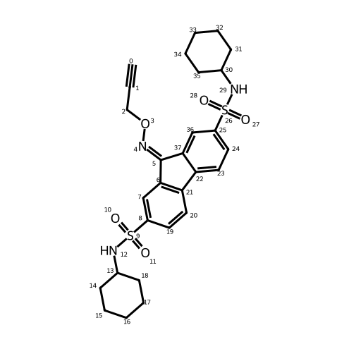 C#CCON=C1c2cc(S(=O)(=O)NC3CCCCC3)ccc2-c2ccc(S(=O)(=O)NC3CCCCC3)cc21